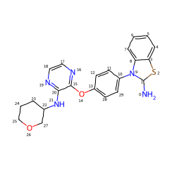 NC1Sc2ccccc2N1c1ccc(Oc2nccnc2NC2CCCOC2)cc1